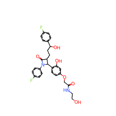 O=C(COc1ccc(C2C(CCC(O)c3ccc(F)cc3)C(=O)N2c2ccc(F)cc2)c(O)c1)NCCO